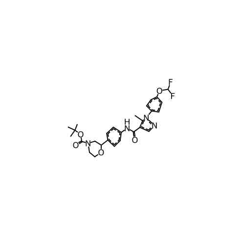 Cc1c(C(=O)Nc2ccc(C3CN(C(=O)OC(C)(C)C)CCO3)cc2)cnn1-c1ccc(OC(F)F)cc1